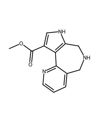 COC(=O)c1c[nH]c2c1-c1ncccc1CNC2